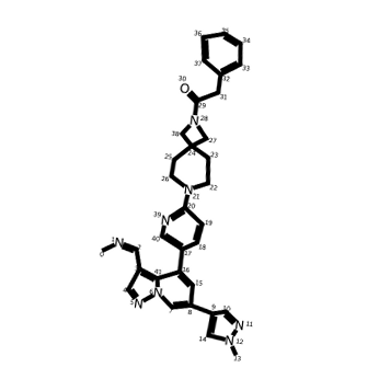 C/N=C\c1cnn2cc(-c3cnn(C)c3)cc(-c3ccc(N4CCC5(CC4)CN(C(=O)Cc4ccccc4)C5)nc3)c12